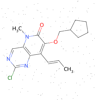 CC=Cc1c(OCC2CCCC2)c(=O)n(C)c2cnc(Cl)nc12